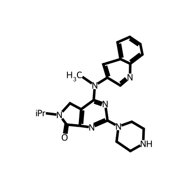 CC(C)N1Cc2c(nc(N3CCNCC3)nc2N(C)c2cnc3ccccc3c2)C1=O